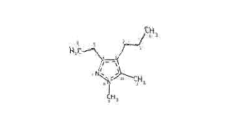 CCCc1c(CC)nn(C)c1C